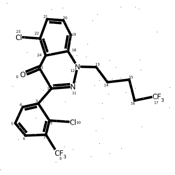 O=c1c(-c2cccc(C(F)(F)F)c2Cl)nn(CCCCC(F)(F)F)c2cccc(Cl)c12